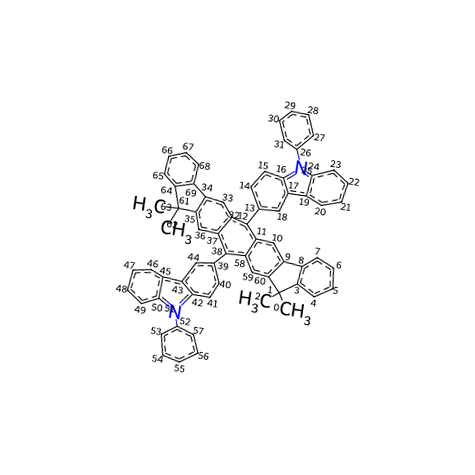 CC1(C)c2ccccc2-c2cc3c(-c4ccc5c(c4)c4ccccc4n5-c4ccccc4)c4cc5c(cc4c(-c4ccc6c(c4)c4ccccc4n6-c4ccccc4)c3cc21)C(C)(C)c1ccccc1-5